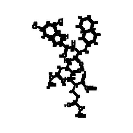 COC(=O)[C@H](CCC(=O)OC(C)(C)C)NC(=O)[C@H](CC(=O)OC(C)(C)C)NC(=O)[C@H](Cc1ccc2ccccc2c1)NC(=O)c1cc2cc(Cl)cc(Cl)c2[nH]1